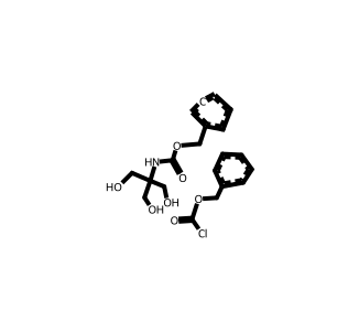 O=C(Cl)OCc1ccccc1.O=C(NC(CO)(CO)CO)OCc1ccccc1